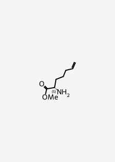 C=CCCC[C@H](N)C(=O)OC